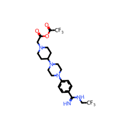 N=C(NCC(F)(F)F)c1ccc(N2CCN(C3CCN(CC(=O)OC(=O)C(F)(F)F)CC3)CC2)cc1